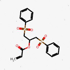 C=CC(=O)OC(CS(=O)(=O)c1ccccc1)CS(=O)(=O)c1ccccc1